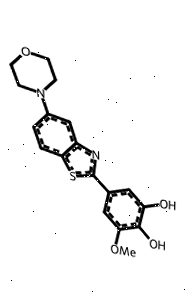 COc1cc(-c2nc3cc(N4CCOCC4)ccc3s2)cc(O)c1O